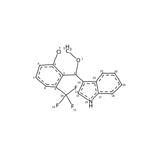 COC(c1c(Cl)cccc1C(F)(F)F)c1c[nH]c2ccccc12